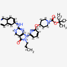 C=CCn1c(=O)c2cnc(Nc3ccc4cnccc4c3)nc2n1-c1cccc(OC2CCN(C(=O)OC(C)(C)C)CC2)n1